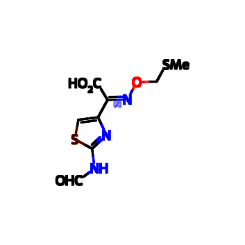 CSCO/N=C(\C(=O)O)c1csc(NC=O)n1